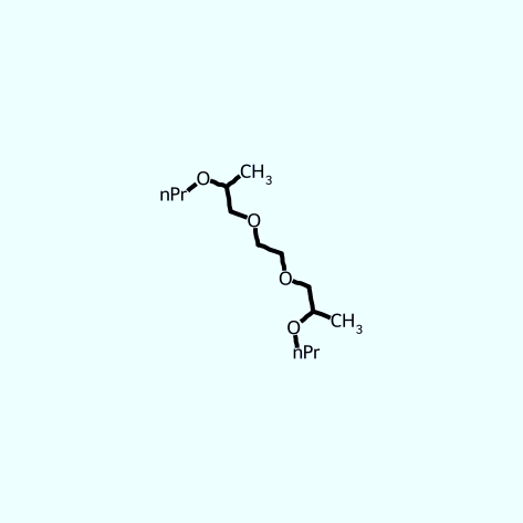 CCCOC(C)COCCOCC(C)OCCC